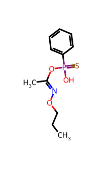 CCCON=C(C)OP(O)(=S)c1ccccc1